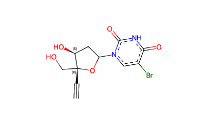 C#C[C@]1(CO)OC(n2cc(Br)c(=O)[nH]c2=O)C[C@@H]1O